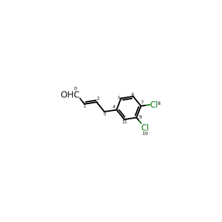 O=CC=CCc1ccc(Cl)c(Cl)c1